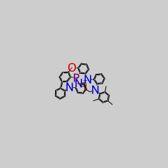 Cc1cc(C)c(N2CC[C@H](C)N(c3cccc4c3P3c5c(ccc6c7ccccc7n(c56)-c5cccc[n+]53)O4)c3ccccc32)c(C)c1